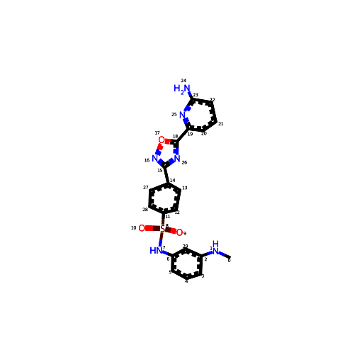 CNc1cccc(NS(=O)(=O)c2ccc(-c3noc(-c4cccc(N)n4)n3)cc2)c1